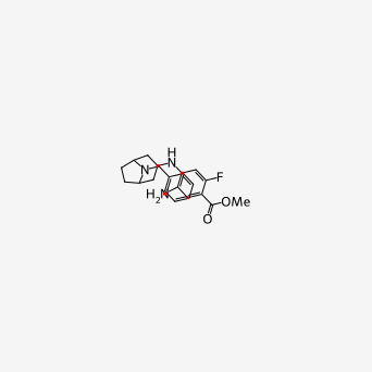 COC(=O)c1cc(N)c(NC2CC3CCC(C2)N3Cc2ccccc2)cc1F